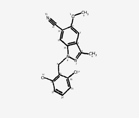 COc1cc2c(C)nn(Cc3c(Cl)cccc3Cl)c2cc1C#N